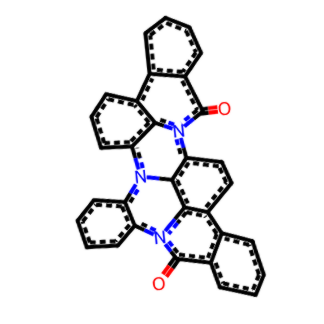 O=c1c2ccccc2c2ccc3c4c2n1c1ccccc1n-4c1cccc2c4ccccc4c(=O)n3c21